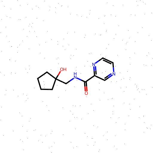 O=C(NCC1(O)CCCC1)c1cnccn1